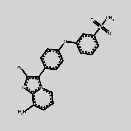 CC(C)c1nc2c(N)cccn2c1-c1ccc(Oc2cccc(S(C)(=O)=O)c2)cc1